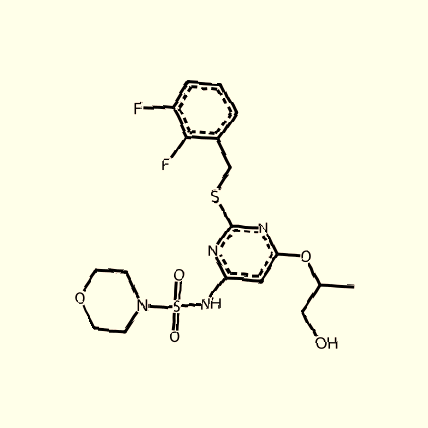 CC(CO)Oc1cc(NS(=O)(=O)N2CCOCC2)nc(SCc2cccc(F)c2F)n1